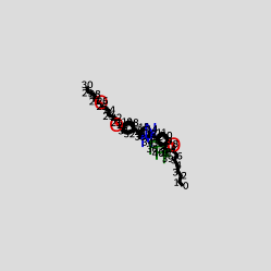 CCCCCCCC1Oc2ccc(-c3ncc(-c4ccc(OCCCCOCCCC)cc4)cn3)c(F)c2C1(F)F